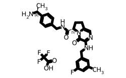 Cc1cc(F)cc(CNc2ncc3n(c2=O)[C@H](C(=O)NCc2ccc([C@@H](C)N)cc2)CC3)c1.O=C(O)C(F)(F)F